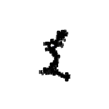 CC[C@H](O)[C@@H](C)[C@H]1O[C@@H]1C[C@@](C)(O)/C=C/C=C(\C)[C@H]1OC(=O)C[C@H](O)CC[C@@](C)(O)[C@@H](OC(=O)N2CCN(C(=O)OCc3ccc(NC(=O)[C@H](CCCNC(N)=O)NC(=O)[C@@H](NC(=O)CCOCCOCCN4C(=O)C=CC4=O)C(C)C)cc3)CC2)/C=C/[C@@H]1C